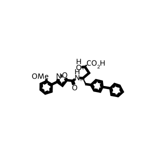 COc1ccccc1-c1cc(C(=O)N[C@H](Cc2ccc(-c3ccccc3)cc2)C[C@@H](O)C(=O)O)on1